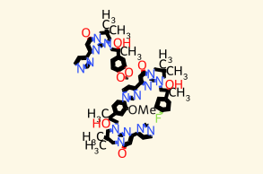 CC1(C)CN(CC(C)(O)c2ccc(F)cc2)c2nc(-c3ccncn3)cc(=O)n2C1.CC1(C)CN(CC(C)(O)c2ccc3c(c2)OCO3)c2nc(-c3ccncn3)cc(=O)n2C1.COc1cccc(C(C)(O)CN2CC(C)(C)Cn3c2nc(-c2ccncn2)cc3=O)c1